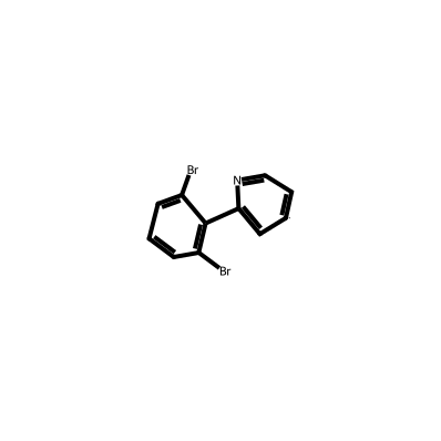 Brc1cccc(Br)c1-c1c[c]ccn1